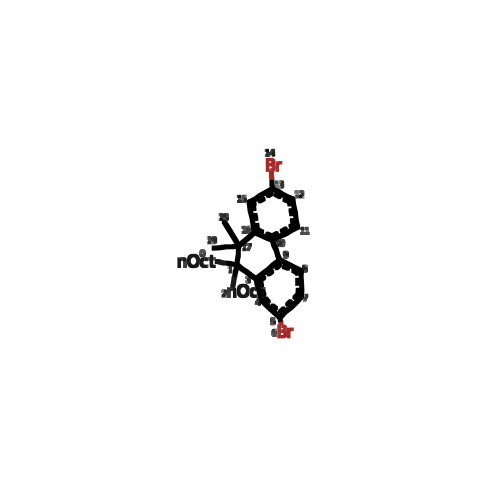 CCCCCCCCC1(CCCCCCCC)c2cc(Br)ccc2-c2ccc(Br)cc2C1(C)C